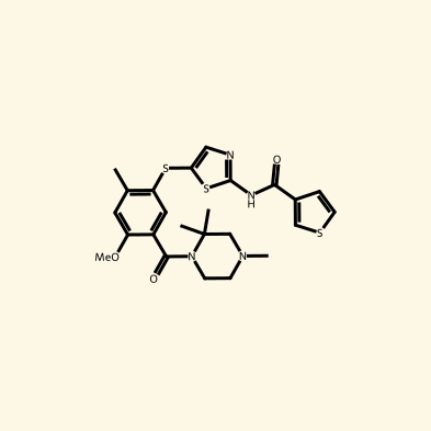 COc1cc(C)c(Sc2cnc(NC(=O)c3ccsc3)s2)cc1C(=O)N1CCN(C)CC1(C)C